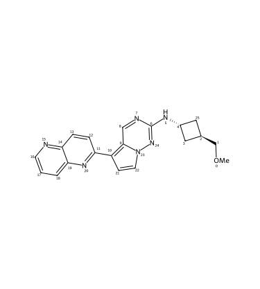 COC[C@H]1C[C@H](Nc2ncc3c(-c4ccc5ncccc5n4)ccn3n2)C1